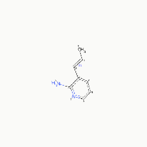 C/C=C/c1cccnc1N